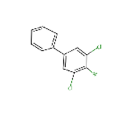 Clc1cc(-c2ccccc2)cc(Cl)c1Br